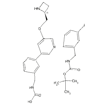 CC(C)(C)OC(=O)NCc1cccc(I)c1.O=C(O)NCc1cccc(-c2cncc(OC[C@@H]3CCN3)c2)c1